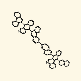 c1ccc2cc(-c3c4ccccc4c(-c4ccc5cc(-c6ccc7cc(-c8c9ccccc9c(-c9cc%10ccccc%10c%10ccccc9%10)c9cnccc89)c8ccccc8c7c6)ccc5c4)c4cnc5ccccc5c34)ccc2c1